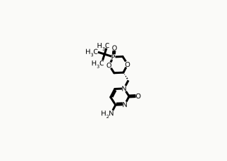 CC(C)(C)P1(=O)CO[C@H](Cn2ccc(N)nc2=O)CO1